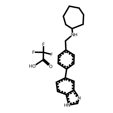 O=C(O)C(F)(F)F.c1nc2cc(-c3ccc(CNC4CCCCCC4)cc3)ccc2[nH]1